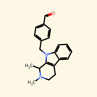 CC1c2c(c3ccccc3n2Cc2ccc(C=O)cc2)CCN1C